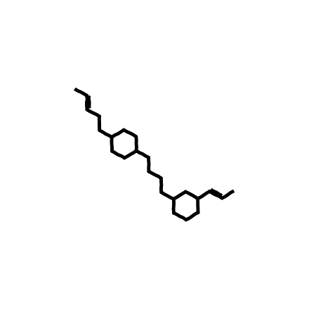 CC=CC1CCCC(CCCCC2CCC(CC/C=C/C)CC2)C1